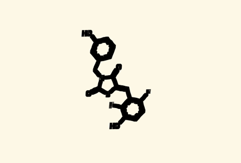 O=C1SC(=Cc2c(F)ccc(O)c2F)C(=O)N1Cc1cccc(O)c1